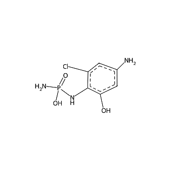 Nc1cc(O)c(NP(N)(=O)O)c(Cl)c1